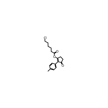 Cc1ccc(C2=C(OC(=O)CCCCCCl)CCC2=O)cc1